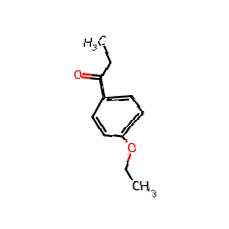 CCOc1ccc(C(=O)CC)cc1